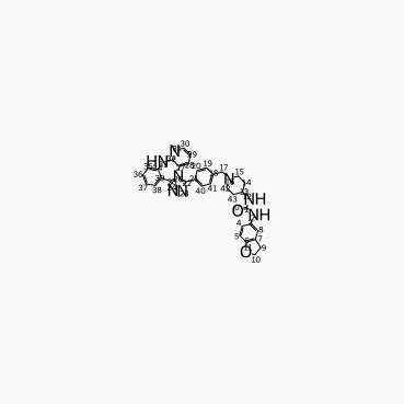 O=C(Nc1ccc2c(c1)CCO2)NC1CCN(Cc2ccc(-c3nnc4n3-c3cccnc3Nc3ccccc3-4)cc2)CC1